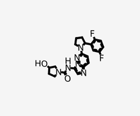 O=C(Nc1cnc2ccc(N3CCCC3c3cc(F)ccc3F)nn12)N1CCC(O)C1